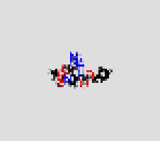 CC(C)(C)OC(=O)N1CC[C@@H](NC(=O)OCc2ccccc2)[C@H]1C(=O)C=[N+]=[N-]